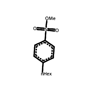 CCCCCCc1ccc(S(=O)(=O)OC)cc1